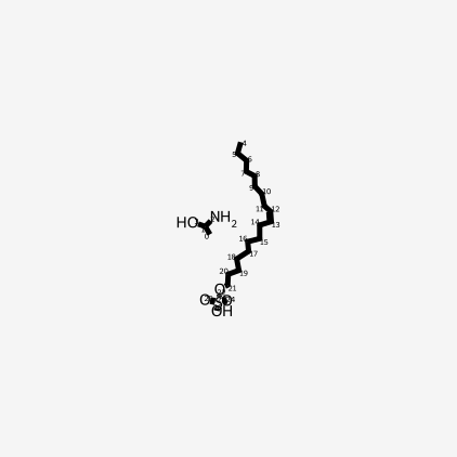 CC(N)O.CCCCCCCC/C=C\CCCCCCCCOS(=O)(=O)O